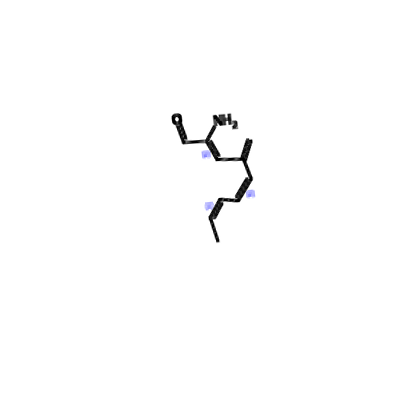 C=C(/C=C\C=C/C)/C=C(\N)C=O